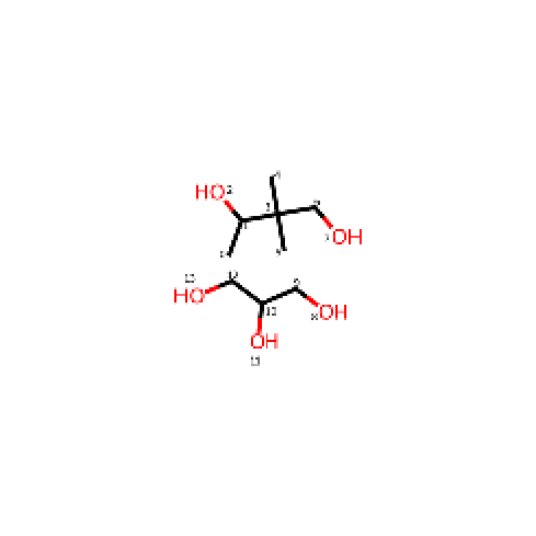 CC(O)C(C)(C)CO.OCC(O)CO